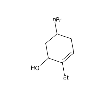 CCCC1CC=C(CC)C(O)C1